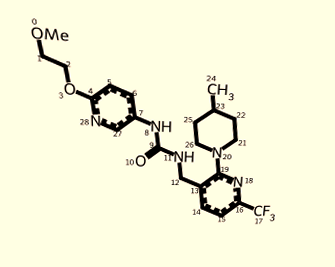 COCCOc1ccc(NC(=O)NCc2ccc(C(F)(F)F)nc2N2CCC(C)CC2)cn1